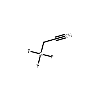 C#CC[Si](F)(F)F